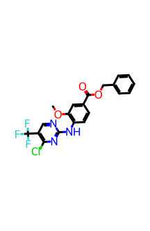 COc1cc(C(=O)OCc2ccccc2)ccc1Nc1ncc(C(F)(F)F)c(Cl)n1